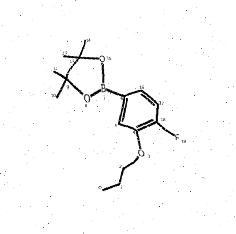 CCCOc1cc(B2OC(C)(C)C(C)(C)O2)ccc1F